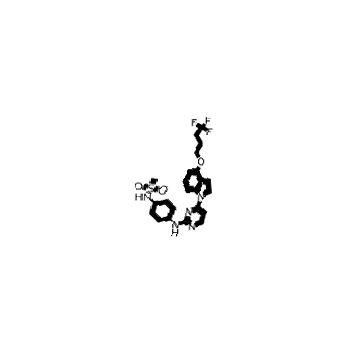 CS(=O)(=O)N[C@H]1CC[C@H](Nc2nccc(-n3ccc4c(OCCCC(F)(F)F)cccc43)n2)CC1